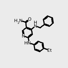 CCc1ccc(Nc2cc(NCc3ccccc3)c(C(N)=O)cn2)cc1